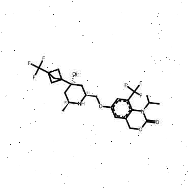 CC(C)N1C(=O)OCc2cc(OC[C@@H]3C[C@](O)(C45CC(C(F)(F)F)(C4)C5)C[C@H](C)N3)cc(C(F)(F)F)c21